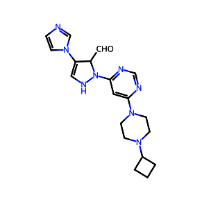 O=CC1C(n2ccnc2)=CNN1c1cc(N2CCN(C3CCC3)CC2)ncn1